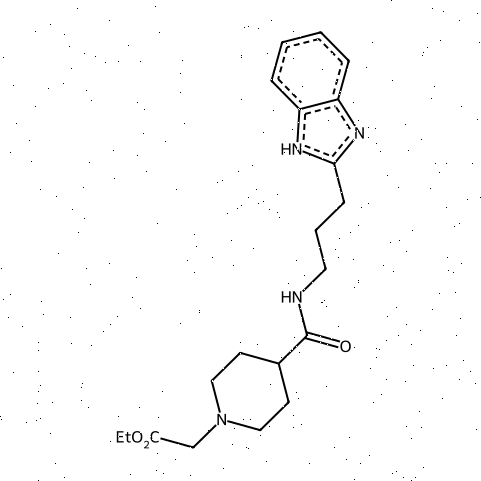 CCOC(=O)CN1CCC(C(=O)NCCCc2nc3ccccc3[nH]2)CC1